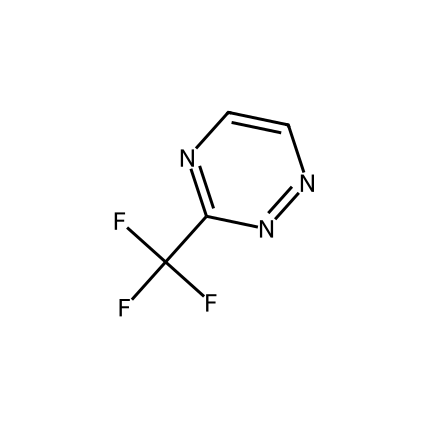 FC(F)(F)c1nccnn1